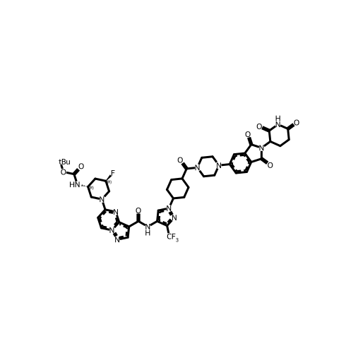 CC(C)(C)OC(=O)N[C@@H]1C[C@@H](F)CN(c2ccn3ncc(C(=O)Nc4cn(C5CCC(C(=O)N6CCN(c7ccc8c(c7)C(=O)N(C7CCC(=O)NC7=O)C8=O)CC6)CC5)nc4C(F)(F)F)c3n2)C1